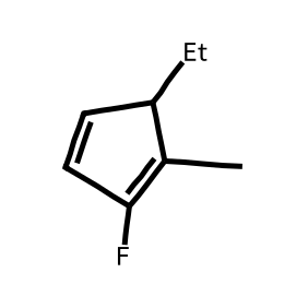 CCC1C=CC(F)=C1C